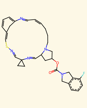 O=C(OC1CC2/C=N/C3(/C=N/S/C=C4/C=CC=C(C4)/N=C/C=C\CCCN2C1)CC3)N1Cc2cccc(F)c2C1